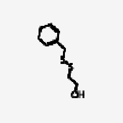 OCCSSCC1=CCCC=C1